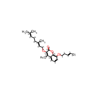 CC/C=C/CCOc1cccc2c(OC(C)=O)c(OC/C=C(\C)CCC=C(C)C)c(=O)oc12